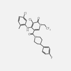 Cc1ccc(Cl)cc1Nc1c(C(=O)N2CCC(c3ccc(F)cc3)CC2)cn(CC(F)(F)F)c(=O)c1Cl